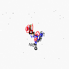 CCN1CC[C@H]2CC[C@@H](C(=O)N3C[C@H](c4ccccc4)[C@@H](C#N)C3)N2C(=O)C(NC(=O)c2cc3cc([C@@H](F)P(=O)(O)O)ccc3s2)C1